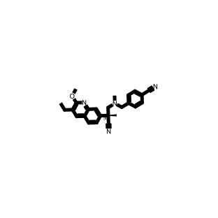 CCc1cc2ccc([C@@](C)(C#N)CN(C)Cc3ccc(C#N)cc3)cc2nc1OC